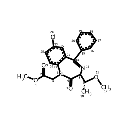 COC(=O)CN1C(=O)C([C@@H](C)OC)N=C(c2ccccc2)c2cc(Cl)ccc21